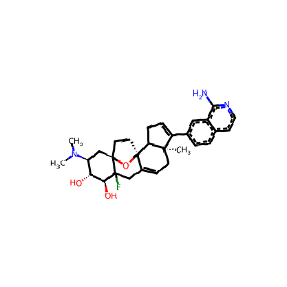 CN(C)[C@H]1C[C@@]23CC[C@@]4(O2)C(=CC[C@]2(C)C(c5ccc6ccnc(N)c6c5)=CCC24)CC3(F)[C@@H](O)[C@@H]1O